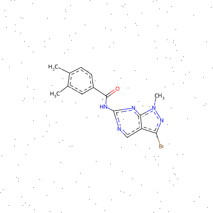 Cc1ccc(C(=O)Nc2ncc3c(Br)nn(C)c3n2)cc1C